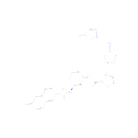 CN(C1CCN(C[C@@H]2CCCN2C(=O)CN2CCC[C@H](NS(=O)(=O)c3ccc4cc(Cl)ccc4c3)C2=O)C1)S(=O)(=O)c1cn(C)cn1